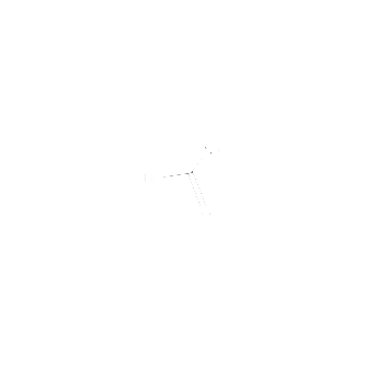 O=[C](O)[Na]